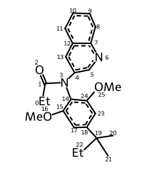 CCC(=O)N(c1cnc2ccccc2c1)c1c(OC)cc(C(C)(C)CC)cc1OC